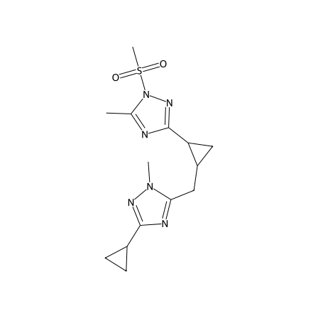 Cc1nc(C2CC2Cc2nc(C3CC3)nn2C)nn1S(C)(=O)=O